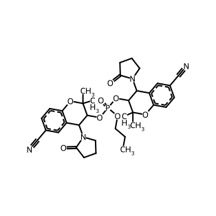 CCCOP(=O)(OC1C(N2CCCC2=O)c2cc(C#N)ccc2OC1(C)C)OC1C(N2CCCC2=O)c2cc(C#N)ccc2OC1(C)C